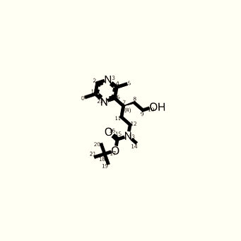 Cc1cnc(C)c([C@@H](CCO)CCN(C)C(=O)OC(C)(C)C)n1